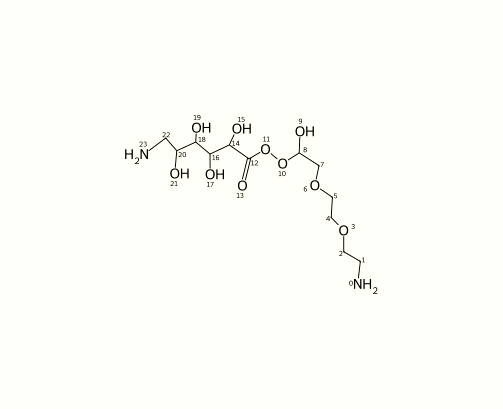 NCCOCCOCC(O)OOC(=O)C(O)C(O)C(O)C(O)CN